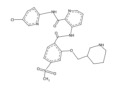 CS(=O)(=O)c1ccc(C(=O)Nc2cccnc2C(=O)Nc2ccc(Cl)cn2)c(OCC2CCCNC2)c1